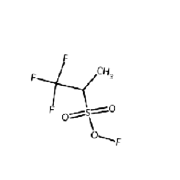 CC(C(F)(F)F)S(=O)(=O)OF